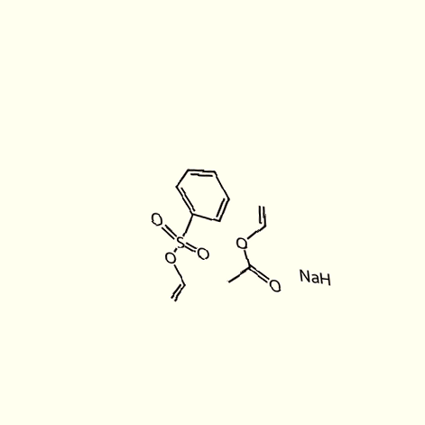 C=COC(C)=O.C=COS(=O)(=O)c1ccccc1.[NaH]